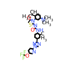 Cc1cc(-c2ncn(-c3ccc(OC(F)(F)F)cn3)n2)ccc1NC(=O)/N=C1\SCC(=O)N1c1cc(N(C)C)ccc1C(C)C